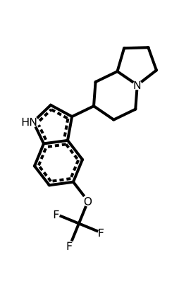 FC(F)(F)Oc1ccc2[nH]cc(C3CCN4CCCC4C3)c2c1